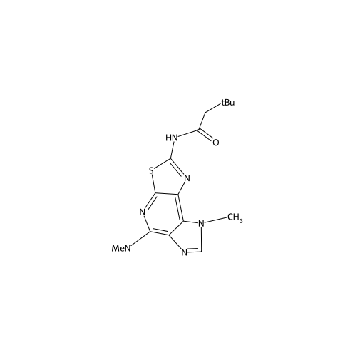 CNc1nc2sc(NC(=O)CC(C)(C)C)nc2c2c1ncn2C